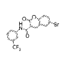 O=C(Nc1cccc(C(F)(F)F)c1)c1cc2cc(Br)ccc2oc1=O